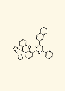 c1ccc(-c2cc(-c3ccc4ccccc4c3)nc(-c3cccc4c3Oc3ccccc3C43c4ccccc4-c4ccccc43)n2)cc1